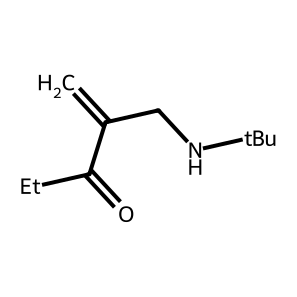 C=C(CNC(C)(C)C)C(=O)CC